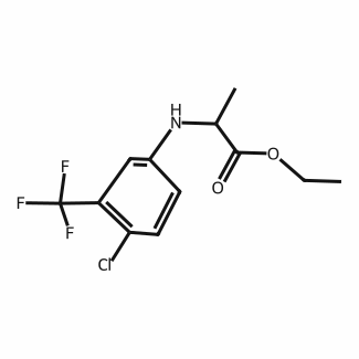 CCOC(=O)C(C)Nc1ccc(Cl)c(C(F)(F)F)c1